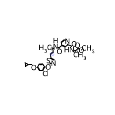 COC(=O)[C@@H](C)NC(=O)c1cc(C(=O)N[C@@H](C)/C=C/c2cnc(Oc3ccc(OCC4CC4)cc3Cl)s2)ccn1